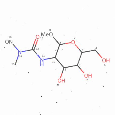 COC1OC(CO)C(O)C(O)C1NC(=O)N(C)N=O